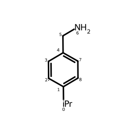 CC(C)c1[c]cc(CN)cc1